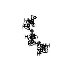 CCOc1cc([C@H](CS(C)(=O)=O)n2c(=O)[nH]c3cc(-c4cccc(CCOc5cc([C@H](CS(C)(=O)=O)n6c(=O)[nH]c7c(C)c(-c8cccc(CCOc9cc([C@H](CS(C)(=O)=O)n%10c(=O)[nH]c%11c(C)c(-c%12ccccc%12F)cnc%11%10)ccc9OC(F)F)c8)cnc76)ccc5OC(F)F)c4F)cnc32)ccc1OC(F)F